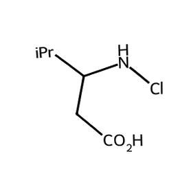 CC(C)C(CC(=O)O)NCl